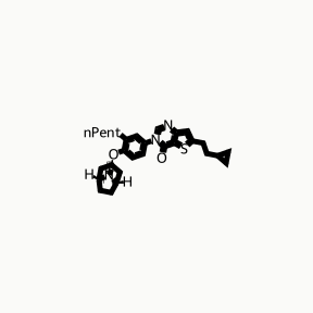 CCCCCc1cc(-n2cnc3cc(CCC4CC4)sc3c2=O)ccc1O[C@H]1C[C@H]2CC[C@@H](C1)N2C